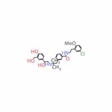 COc1ccc(Cl)cc1CCNC(=O)c1cccc(CC(C)(C)NC[C@@H](O)c2ccc(O)c(CO)c2)c1